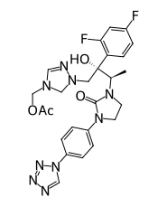 CC(=O)OCN1C=NN(C[C@@](O)(c2ccc(F)cc2F)[C@@H](C)N2CCN(c3ccc(-n4cnnn4)cc3)C2=O)C1